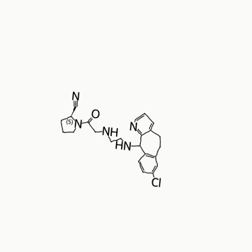 N#C[C@@H]1CCCN1C(=O)CNCCNC1c2ccc(Cl)cc2CCc2cccnc21